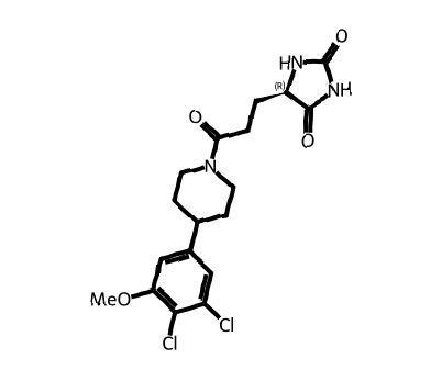 COc1cc(C2CCN(C(=O)CC[C@H]3NC(=O)NC3=O)CC2)cc(Cl)c1Cl